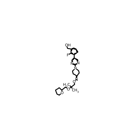 CC(C)(CON=C1CCN(c2ncc(-c3cccc(CO)c3F)cn2)CC1)OCC1CCCCO1